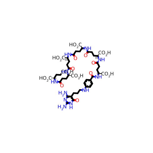 Nc1nc(N)c(CCCNc2ccc(C(=O)N[C@@H](CCC(=O)N[C@@H](CCC(=O)N[C@@H](CCC(=O)N[C@@H](CCC(=O)N[C@@H](CCC(=O)N[C@@H](CCC(=O)O)C(=O)O)C(=O)O)C(=O)O)C(=O)O)C(=O)O)C(=O)O)cc2)c(=O)[nH]1